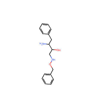 NC(Cc1ccccc1)C(O)CNOCc1ccccc1